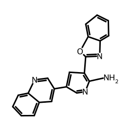 Nc1ncc(-c2cnc3ccccc3c2)cc1-c1nc2ccccc2o1